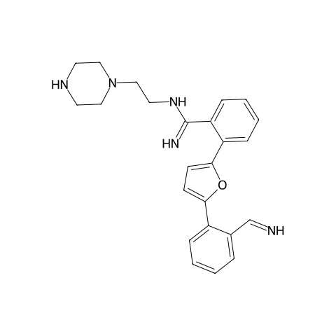 N=Cc1ccccc1-c1ccc(-c2ccccc2C(=N)NCCN2CCNCC2)o1